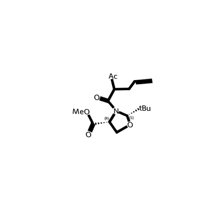 C=CCC(C(C)=O)C(=O)N1[C@@H](C(=O)OC)CO[C@H]1C(C)(C)C